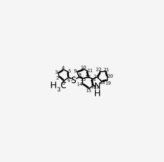 Cc1ccccc1Sc1cccc2c1ccc1[nH]c3ccccc3c12